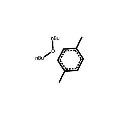 CCCCOCCCC.Cc1ccc(C)cc1